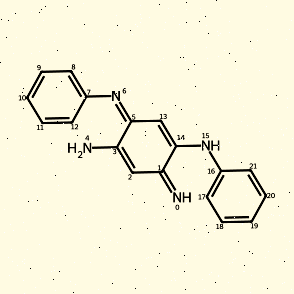 N=C1C=C(N)/C(=N\c2ccccc2)C=C1Nc1ccccc1